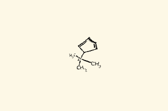 [CH3][Zr]([CH3])([CH3])[CH]1C=CC=C1